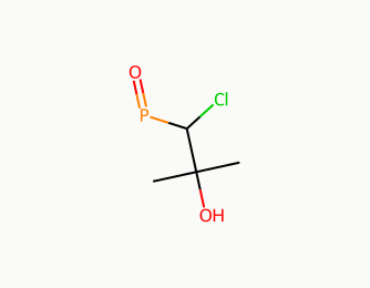 CC(C)(O)C(Cl)P=O